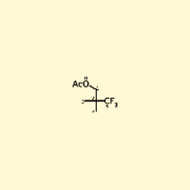 CC(=O)OCC(C)(C)C(F)(F)F